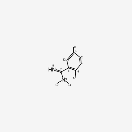 Cc1ccc(C)c(C(=N)N(C)C)c1